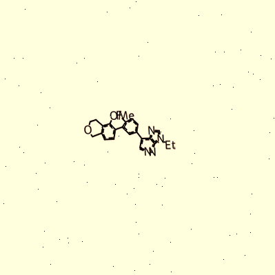 CCn1cnc2c(-c3ccc(F)c(-c4ccc5c(c4OC)CCOC5)c3)cnnc21